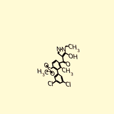 CCn1ncc(C(=O)c2ccc(S(C)(=O)=O)c(-c3cc(Cl)cc(Cl)c3)c2C)c1O